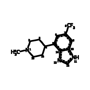 CN1CCC(c2cc(C(F)(F)F)cc3[nH]cnc23)CC1